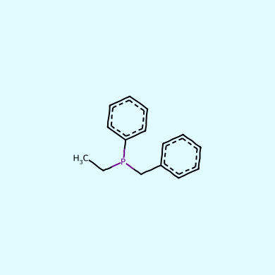 CCP(Cc1ccccc1)c1ccccc1